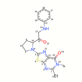 CCc1nc2sc(N3CCCC3C(=O)CNc3ccccc3)nc2c(=O)n1C